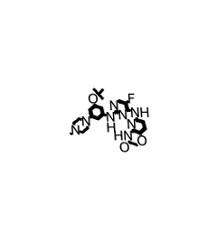 CN1CCN(c2cc(Nc3ncc(F)c(Nc4ccc5c(n4)NC(=O)CO5)n3)cc(OC(C)(C)C)c2)CC1